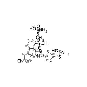 C.CS(=O)(=O)c1ccccc1-c1oc(C2CCCCC2)nc1-c1ccc(Cl)cc1.NC(O)=S.NC(O)=S.O